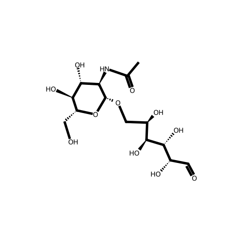 CC(=O)N[C@H]1[C@H](OC[C@@H](O)[C@H](O)[C@H](O)[C@@H](O)C=O)O[C@H](CO)[C@@H](O)[C@@H]1O